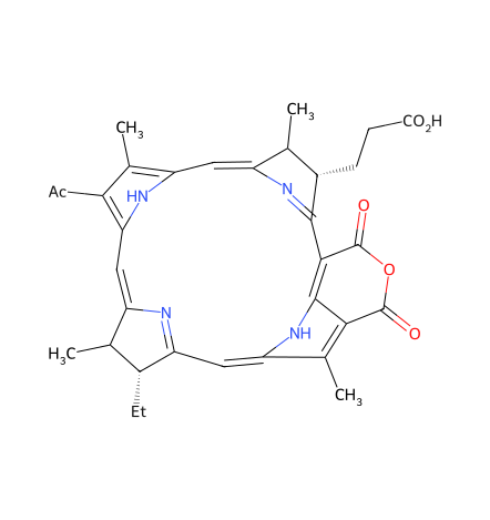 CC[C@H]1c2cc3[nH]c4c(c5nc(cc6[nH]c(cc(n2)C1C)c(C(C)=O)c6C)C(C)[C@@H]5CCC(=O)O)C(=O)OC(=O)c4c3C